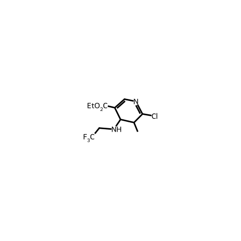 CCOC(=O)C1=CN=C(Cl)C(C)C1NCC(F)(F)F